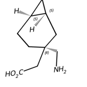 NC[C@]1(CC(=O)O)CC[C@H]2C[C@H]2C1